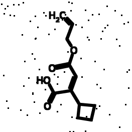 C=CCOC(=O)/C=C(\C(=O)O)C1CCC1